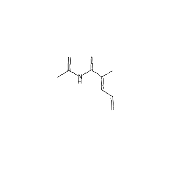 C=C/C=C(\C)C(=C)NC(=C)C